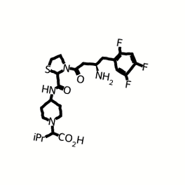 CC(C)C(C(=O)O)N1CCC(NC(=O)C2SCCN2C(=O)C[C@H](N)Cc2cc(F)c(F)cc2F)CC1